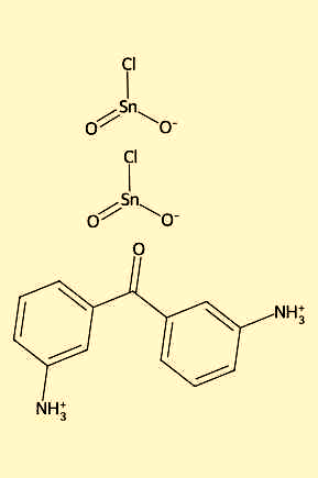 [NH3+]c1cccc(C(=O)c2cccc([NH3+])c2)c1.[O]=[Sn]([O-])[Cl].[O]=[Sn]([O-])[Cl]